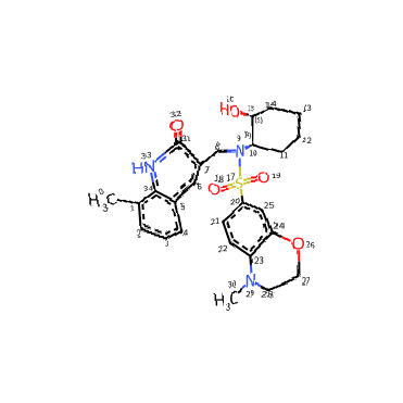 Cc1cccc2cc(CN([C@@H]3CCCC[C@@H]3O)S(=O)(=O)c3ccc4c(c3)OCCN4C)c(=O)[nH]c12